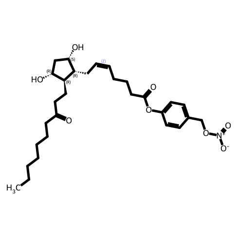 CCCCCCCC(=O)CC[C@@H]1[C@@H](C/C=C\CCCC(=O)Oc2ccc(CO[N+](=O)[O-])cc2)[C@@H](O)C[C@H]1O